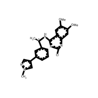 COc1cc2nc(Cl)nc(N[C@H](C)c3cccc(-c4cnn(C)c4)c3)c2cc1OC